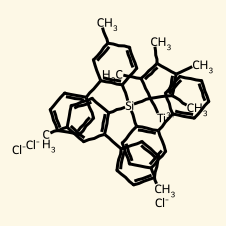 CC1=C(C)[C]([Ti+3])([Si](c2ccc(C)cc2-c2ccccc2)(c2ccc(C)cc2-c2ccccc2)c2ccc(C)cc2-c2ccccc2)C(C)=C1C.[Cl-].[Cl-].[Cl-]